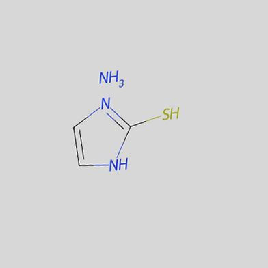 N.Sc1ncc[nH]1